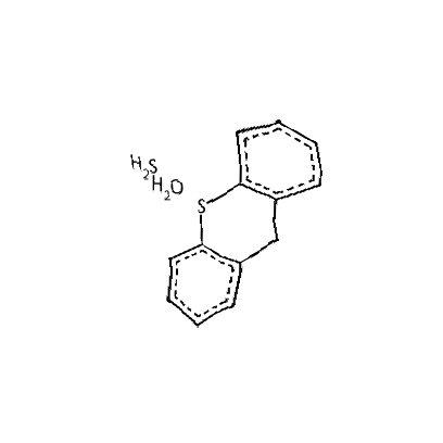 O.S.c1ccc2c(c1)Cc1ccccc1S2